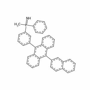 CP(=N)(c1ccccc1)c1cccc(-c2c3ccccc3c(-c3ccc4ccccc4c3)c3ccccc23)c1